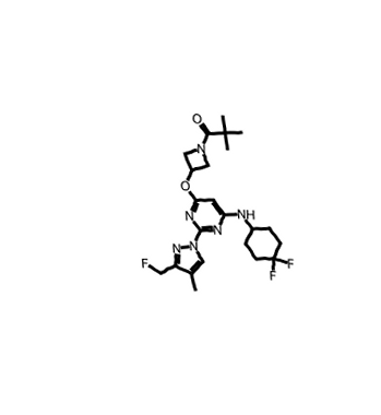 Cc1cn(-c2nc(NC3CCC(F)(F)CC3)cc(OC3CN(C(=O)C(C)(C)C)C3)n2)nc1CF